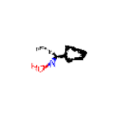 CCCC(=NO)c1ccccc1